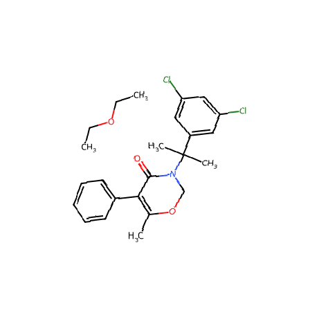 CC1=C(c2ccccc2)C(=O)N(C(C)(C)c2cc(Cl)cc(Cl)c2)CO1.CCOCC